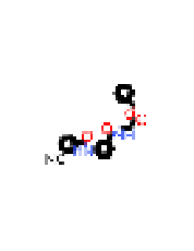 N#Cc1cccc(C(=O)Nc2cccc(C(=O)NCCC(=O)OCc3ccccc3)c2)c1